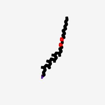 CCCCCCCCCCOCOCCCC(C)CC(C)CC(C)CC(C)CC(C)CC(C)CCCI